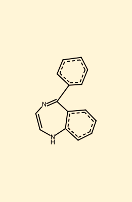 C1=CNc2ccccc2C(c2ccccc2)=N1